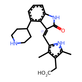 Cc1[nH]c(/C=C2\C(=O)Nc3cccc(C4CCNCC4)c32)c(C)c1CC(=O)O